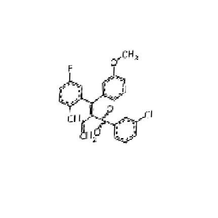 C=C/C(=C(/c1cccc(OC)c1)c1cc(F)ccc1C)S(=O)(=O)c1cccc(Cl)c1